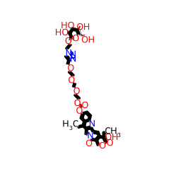 CCc1c2c(nc3ccc(OC(=O)OCCOCCOCCOCc4cn(CCO[C@H]5O[C@@H](CO)[C@H](O)[C@@H](O)[C@@H]5O)nn4)cc13)-c1cc3c(c(=O)n1C2)COC(=O)[C@]3(O)CC